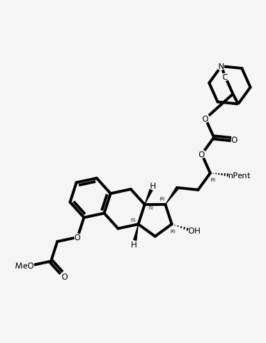 CCCCC[C@H](CC[C@@H]1[C@H]2Cc3cccc(OCC(=O)OC)c3C[C@H]2C[C@H]1O)OC(=O)OC1CN2CCC1CC2